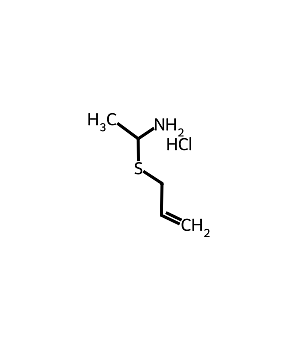 C=CCSC(C)N.Cl